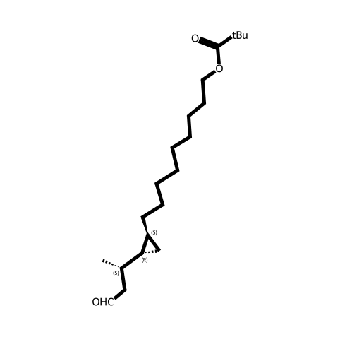 C[C@@H](CC=O)[C@H]1C[C@@H]1CCCCCCCCCOC(=O)C(C)(C)C